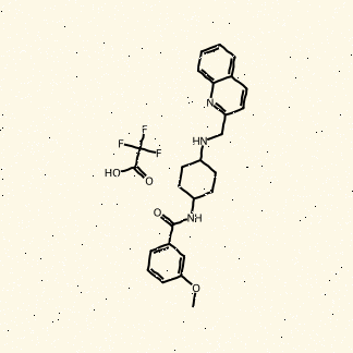 COc1cccc(C(=O)NC2CCC(NCc3ccc4ccccc4n3)CC2)c1.O=C(O)C(F)(F)F